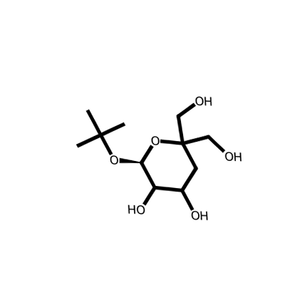 CC(C)(C)O[C@H]1OC(CO)(CO)CC(O)C1O